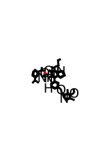 CCCCn1c(=O)c(NC(=O)Nc2c(C(C)C)cccc2C(C)C)c(-c2cccc(OCc3ncc(C)c(OC)c3C)c2)c2cccnc21